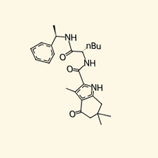 CCCC[C@H](NC(=O)c1[nH]c2c(c1C)C(=O)CC(C)(C)C2)C(=O)N[C@H](C)c1ccccc1